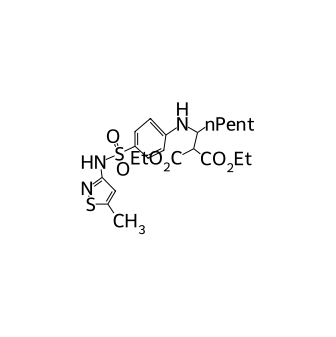 CCCCCC(Nc1ccc(S(=O)(=O)Nc2cc(C)sn2)cc1)C(C(=O)OCC)C(=O)OCC